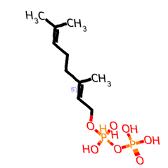 CC(C)=CCC/C(C)=C/CO[PH](O)(O)OP(=O)(O)O